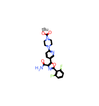 CC(C)(C)OC(=O)N1CCN(c2ccc(-c3oc(-c4c(F)cccc4F)nc3C(N)=O)cn2)CC1